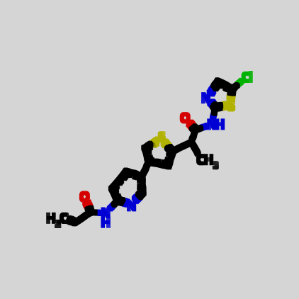 C=CC(=O)Nc1ccc(-c2csc(C(C)C(=O)Nc3ncc(Cl)s3)c2)cn1